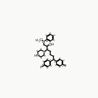 CN(CC(O)C(CCCC(c1ccc(F)cc1)c1ccc(F)cc1)N1CCNCC1)c1ccccc1